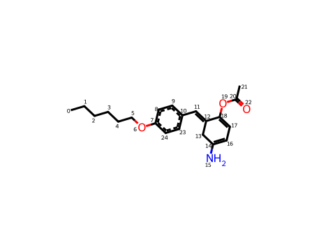 CCCCCCOc1ccc(C=C2CC(N)=CC=C2OC(C)=O)cc1